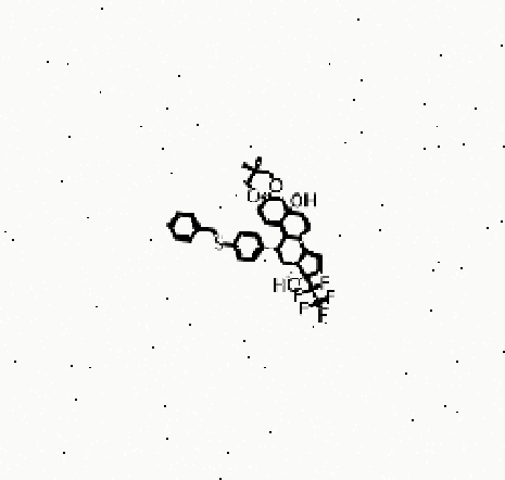 CC1(C)COC2(CCC3=C4C(CC[C@@]3(O)C2)C2CC[C@@](O)(C(F)(F)C(F)(F)F)[C@@]2(C)C[C@@H]4c2ccc(SCc3ccccc3)cc2)OC1